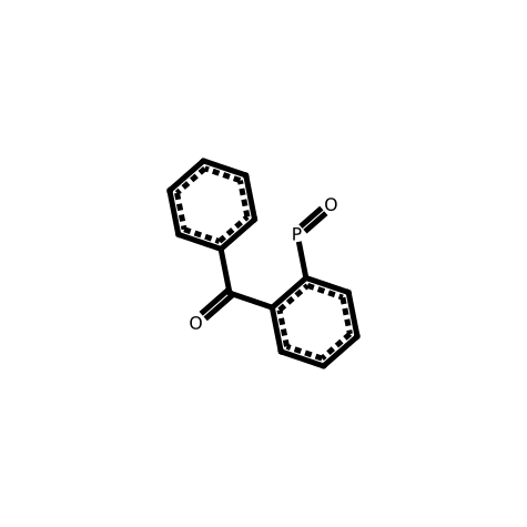 O=Pc1ccccc1C(=O)c1ccccc1